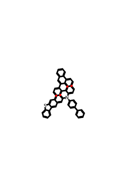 c1ccc(-c2ccc(N(c3ccc4cc5sc6ccccc6c5cc4c3)c3ccccc3-c3ccccc3-c3cc4ccccc4c4ccccc34)cc2)cc1